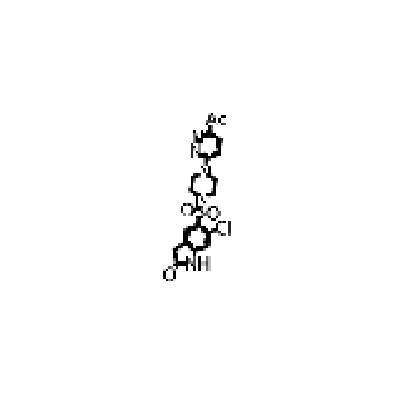 CC(=O)c1ccc(N2CCN(S(=O)(=O)c3cc4c(cc3Cl)NC(=O)C4)CC2)nn1